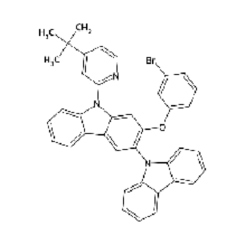 CC(C)(C)c1ccnc(-n2c3ccccc3c3cc(-n4c5ccccc5c5ccccc54)c(Oc4cccc(Br)c4)cc32)c1